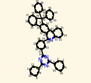 c1ccc(-c2nc(-c3ccccc3)nc(-c3cccc(-c4nc5ccccc5c5cc6c(cc45)-c4ccccc4C6(c4ccccc4)c4ccccc4)c3)n2)cc1